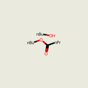 CCCCO.CCCCOC(=O)CCC